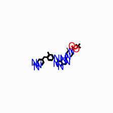 Cc1cc(Nc2ncnc3cnc(N4CCN(C(=O)OC(C)(C)C)[C@H](C)C4)nc23)ccc1Cc1ccn2ncnc2c1